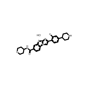 Cl.O=C(NC1CCOCC1)c1ccc2c(c1)sc1nc(-c3ccc(C4CCNCC4)cc3F)cn12